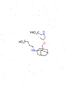 O=C(O)C1CC(OCC23CC4CC(C2)CC(NCCCS(=O)(=O)O)(C4)C3)CN1